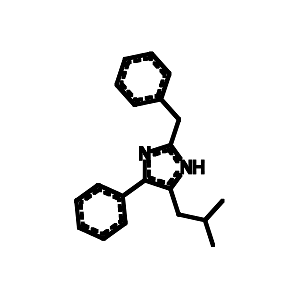 CC(C)Cc1[nH]c(Cc2ccccc2)nc1-c1ccccc1